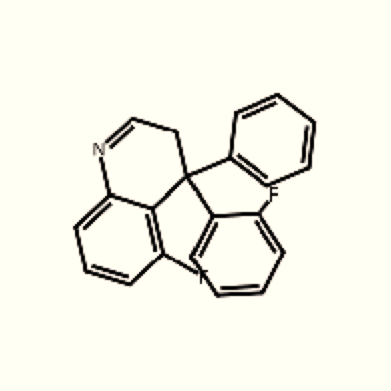 Fc1ccccc1C1(c2ccccc2)CC=Nc2cccc(F)c21